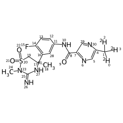 [2H]C([2H])([2H])c1cnc(C(=O)Nc2ccc(F)c([C@]3(C)CS(=O)(=O)N(C)C(=N)N3)c2)cn1